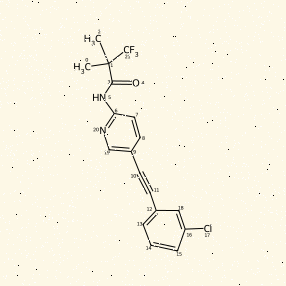 CC(C)(C(=O)Nc1ccc(C#Cc2cccc(Cl)c2)cn1)C(F)(F)F